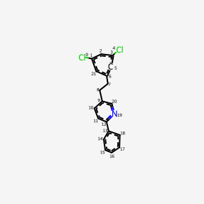 Clc1cc(Cl)cc(CCc2ccc(-c3ccccc3)nc2)c1